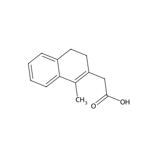 CC1=C(CC(=O)O)CCc2ccccc21